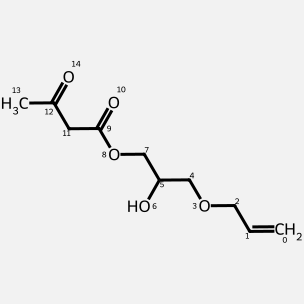 C=CCOCC(O)COC(=O)CC(C)=O